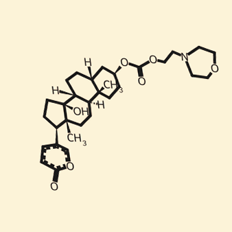 C[C@]12CC[C@H](OC(=O)OCCN3CCOCC3)C[C@H]1CC[C@@H]1[C@@H]2CC[C@]2(C)[C@@H](c3ccc(=O)oc3)CC[C@]12O